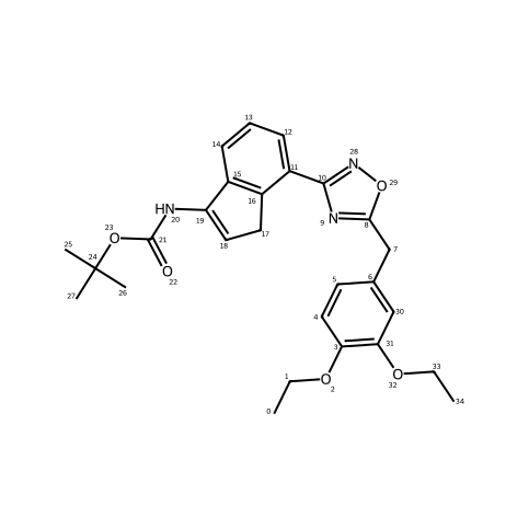 CCOc1ccc(Cc2nc(-c3cccc4c3CC=C4NC(=O)OC(C)(C)C)no2)cc1OCC